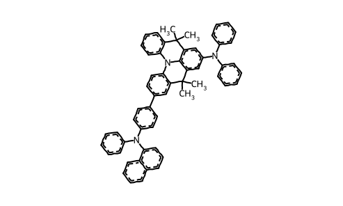 CC1(C)c2ccccc2N2c3ccc(-c4ccc(N(c5ccccc5)c5cccc6ccccc56)cc4)cc3C(C)(C)c3cc(N(c4ccccc4)c4ccccc4)cc1c32